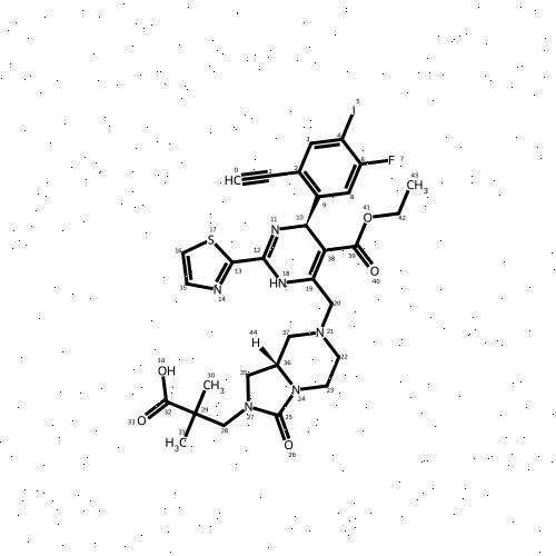 C#Cc1cc(I)c(F)cc1[C@@H]1N=C(c2nccs2)NC(CN2CCN3C(=O)N(CC(C)(C)C(=O)O)C[C@@H]3C2)=C1C(=O)OCC